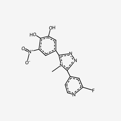 Cn1c(-c2ccnc(F)c2)nnc1-c1cc(O)c(O)c([N+](=O)[O-])c1